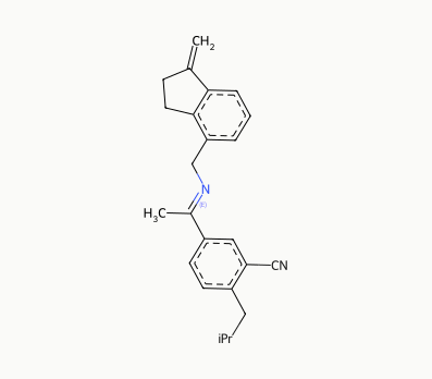 C=C1CCc2c(C/N=C(\C)c3ccc(CC(C)C)c(C#N)c3)cccc21